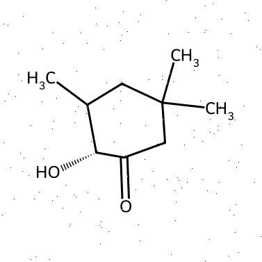 CC1CC(C)(C)CC(=O)[C@@H]1O